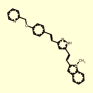 Cn1c(/C=C/c2cc(/C=C/c3ccc(OCc4ccccn4)cc3)n[nH]2)cc2ccccc21